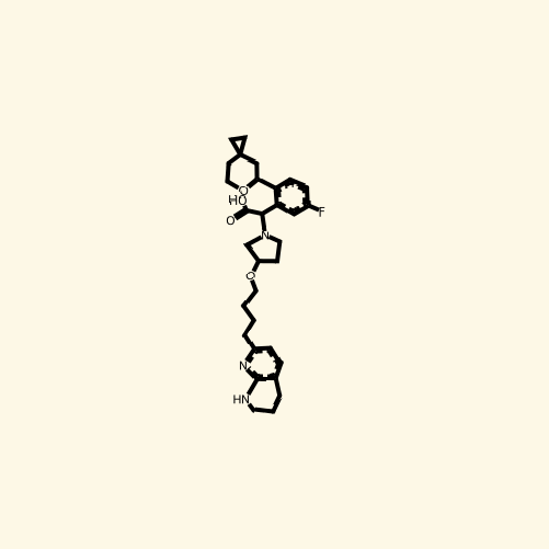 O=C(O)C(c1cc(F)ccc1C1CC2(CCO1)CC2)N1CCC(OCCCCc2ccc3c(n2)NCCC3)C1